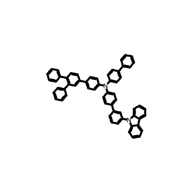 c1ccc(-c2ccc(N(c3ccc(-c4cccc(-n5c6ccccc6c6ccccc65)c4)cc3)c3ccc(-c4ccc(-c5ccccc5)c(-c5ccccc5)c4)cc3)cc2)cc1